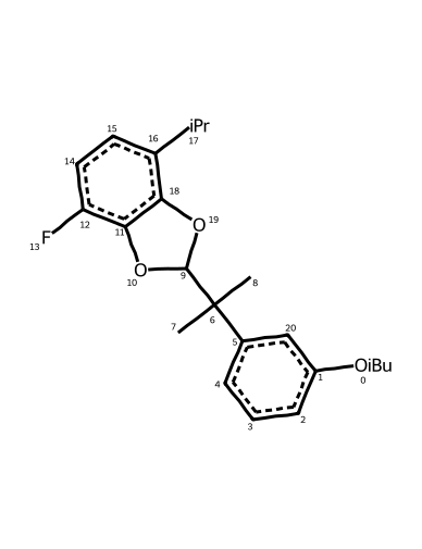 CC(C)COc1cccc(C(C)(C)C2Oc3c(F)ccc(C(C)C)c3O2)c1